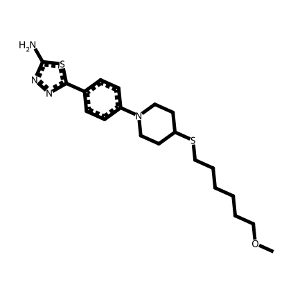 COCCCCCCSC1CCN(c2ccc(-c3nnc(N)s3)cc2)CC1